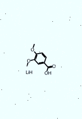 COc1ccc(C(=O)O)cc1OC.[LiH]